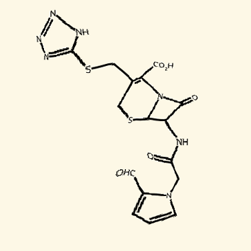 O=Cc1cccn1CC(=O)NC1C(=O)N2C(C(=O)O)=C(CSc3nnn[nH]3)CSC12